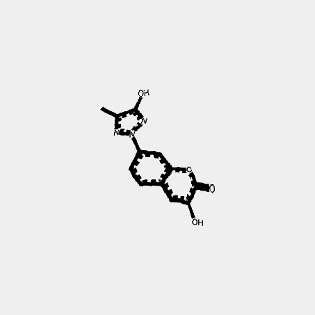 Cc1nn(-c2ccc3cc(O)c(=O)oc3c2)nc1O